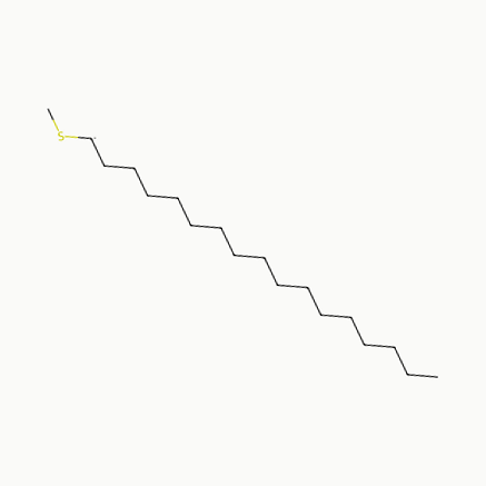 CCCCCCCCCCCCCCCC[CH]SC